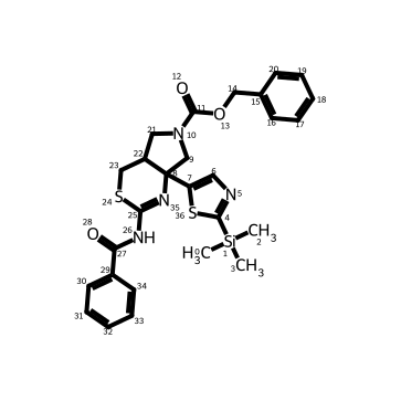 C[Si](C)(C)c1ncc(C23CN(C(=O)OCc4ccccc4)CC2CSC(NC(=O)c2ccccc2)=N3)s1